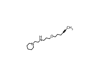 CC#CCCCOCCCNCCN1CCCCC1